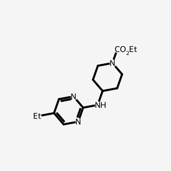 CCOC(=O)N1CCC(Nc2ncc(CC)cn2)CC1